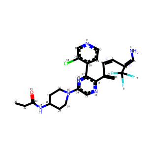 C=C(/C=C\C(=C/N)C(F)(F)F)c1ncc(N2CCC(NC(=O)CC)CC2)nc1-c1ccncc1Cl